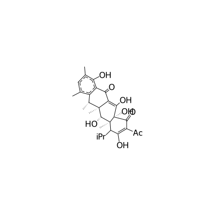 CC(=O)C1=C(O)C(C(C)C)[C@@]2(C)[C@H](O)[C@]3(C)C(=C(O)[C@@]2(O)C1=O)C(=O)c1c(O)c(C)cc(C)c1[C@H]3C